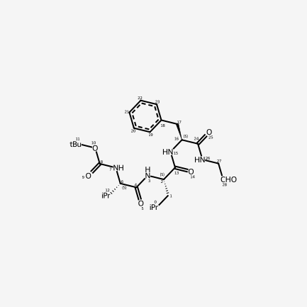 CC(C)C[C@H](NC(=O)[C@@H](NC(=O)OC(C)(C)C)C(C)C)C(=O)N[C@@H](Cc1ccccc1)C(=O)NCC=O